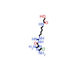 N=C(NCCCCCCNC(=O)CCO)NC(=O)c1nc(Cl)c(N)nc1N